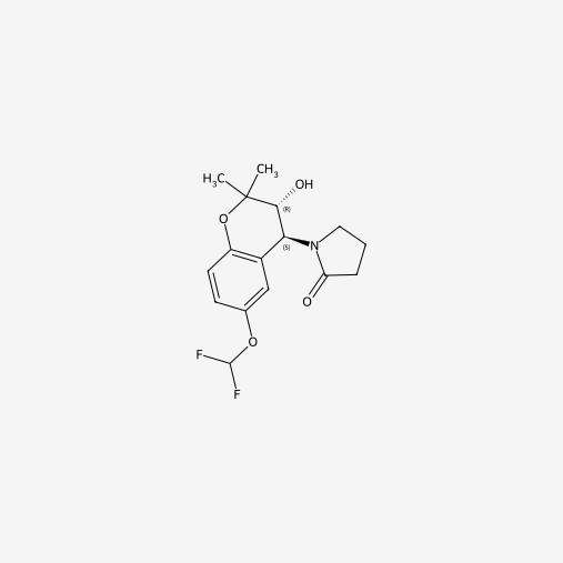 CC1(C)Oc2ccc(OC(F)F)cc2[C@H](N2CCCC2=O)[C@H]1O